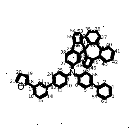 c1ccc(-c2ccc(N(c3ccc(-c4cccc(-c5ccco5)c4)cc3)c3ccc4c(c3)C3(c5ccccc5-c5ccccc5-c5ccccc53)c3ccccc3-4)cc2)cc1